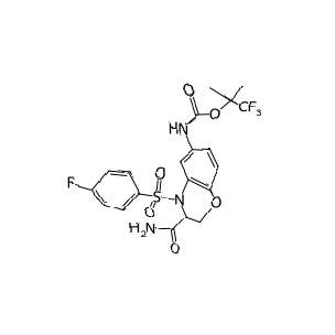 CC(C)(OC(=O)Nc1ccc2c(c1)N(S(=O)(=O)c1ccc(F)cc1)C(C(N)=O)CO2)C(F)(F)F